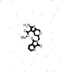 CC(C)(C)OC(=O)c1c(N)sc2c1CC(CN1C(=O)c3cccnc3C1=O)OC2